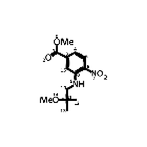 COC(=O)c1ccc([N+](=O)[O-])c(NCC(C)(C)OC)c1